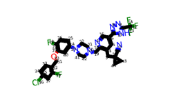 N#CC1(Cc2cc(-c3nnc(C(F)(F)F)[nH]3)cnc2CN2CCN(c3ccc(F)c(OCc4ccc(Cl)cc4F)c3)CC2)CC1